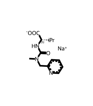 CC(C)[C@H](NC(=O)N(C)Cc1ccccn1)C(=O)[O-].[Na+]